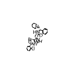 O=C(N[C@H](CN1CCCCC1)c1ccccc1)Oc1n[nH]c(NC(=O)c2ccccc2Cl)c1Br